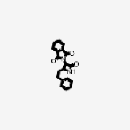 O=C1NC(/C=C\c2ccccc2)C1N1C(=O)c2ccccc2C1=O